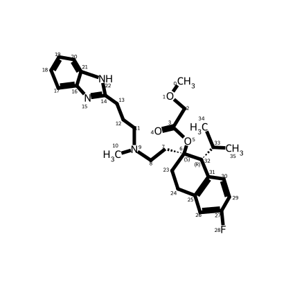 COCC(=O)O[C@]1(CCN(C)CCCc2nc3ccccc3[nH]2)CCc2cc(F)ccc2[C@H]1C(C)C